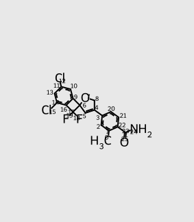 Cc1cc(C2=CC3(OC2)c2cc(Cl)cc(Cl)c2C3(F)F)ccc1C(N)=O